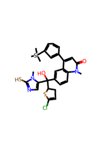 Cn1c(C(O)(c2ccc3c(c2)c(-c2cccc([Si](C)(C)C)c2)cc(=O)n3C)C2CC=C(Cl)S2)cnc1S